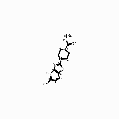 CC(C)(C)OC(=O)N1CCN(c2nc3nc(F)ccc3o2)CC1